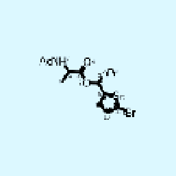 CCCC(OC(=O)C(C)NC(C)=O)c1ccc(Br)s1